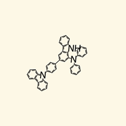 c1ccc(N(c2ccccc2)c2cc(-c3ccc(-n4c5ccccc5c5ccccc54)cc3)cc3c2[nH]c2ccccc23)cc1